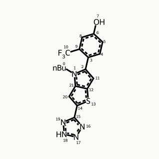 CCCCn1c(-c2ccc(O)cc2C(F)(F)F)cc2sc(-c3nn[nH]n3)cc21